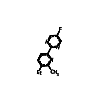 CCc1ccc(-c2ncc(F)cn2)nc1C